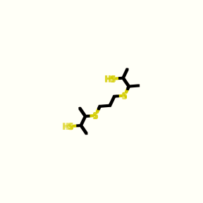 CC(S)C(C)SCCCSC(C)C(C)S